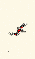 C[C@@H](CCCOc1cc(N(C(=O)OC(C)(C)C)c2cc([C@H]3CC[C@@H](OC(=O)Oc4ccc([N+](=O)[O-])cc4)C3)nn2C(C)(C)C)cc(F)n1)NC(=O)OC(C)(C)C